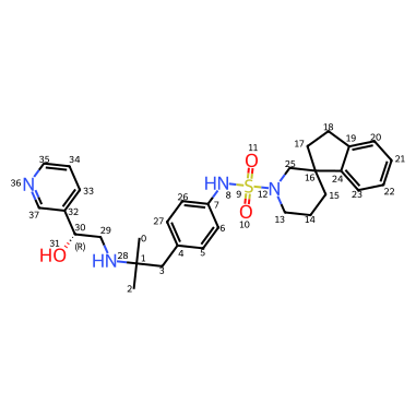 CC(C)(Cc1ccc(NS(=O)(=O)N2CCCC3(CCc4ccccc43)C2)cc1)NC[C@H](O)c1cccnc1